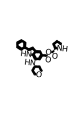 O=C(OC(=O)[C@H]1CCCN1)c1cc(NC2CCOCC2)c2[nH]c(-c3ccccc3)cc2c1